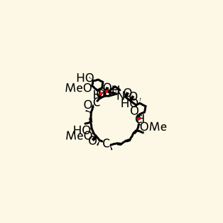 CO[C@H]1C[C@@H]2CC[C@@H](C)[C@@](O)(O2)C(=O)C(=O)N2CCCC3[C@H]2C(=O)O[C@@H](CC(=O)[C@H](C)/C=C(\C)[C@@H](O)[C@H](OC)C(=O)[C@H](C)C[C@H](C)/C=C/C=C/C=C/1C)[C@H]3C[C@@H]1CC[C@@H](O)[C@H](OC)C1